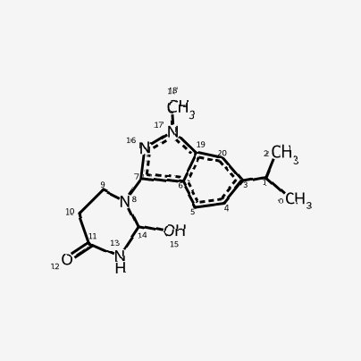 CC(C)c1ccc2c(N3CCC(=O)NC3O)nn(C)c2c1